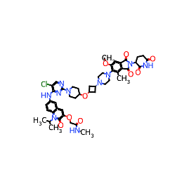 CNC(=O)COc1cc2cc(Nc3nc(N4CCC(O[C@H]5C[C@H](N6CCN(c7c(OC)cc8c(c7C)C(=O)N(C7CCC(=O)NC7=O)C8=O)CC6)C5)CC4)ncc3Cl)ccc2n(C(C)C)c1=O